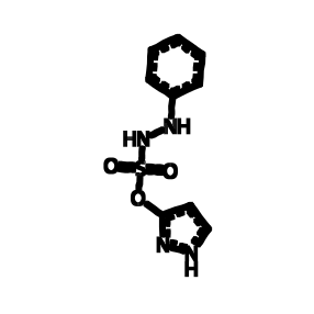 O=S(=O)(NNc1ccccc1)Oc1cc[nH]n1